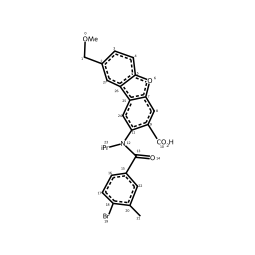 COCc1ccc2oc3cc(C(=O)O)c(N(C(=O)c4ccc(Br)c(C)c4)C(C)C)cc3c2c1